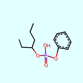 CCCC(CC)OP(=O)(O)Oc1ccccc1